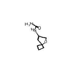 NC(=O)NC1CCOC2(CCC2)C1